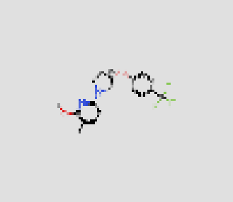 COc1nc(N2CC[C@H](Oc3ccc(C(F)(F)F)cc3)C2)ccc1C